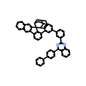 c1ccc(-c2ccc(-c3nc(-c4cccc(-c5cccc(-c6cccc7c6C6(c8cc9ccccc9cc8-7)C7CC8CC(C7)CC6C8)c5)c4)nc4ccccc34)cc2)cc1